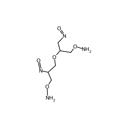 NOCC(COC(CN=O)CON)N=O